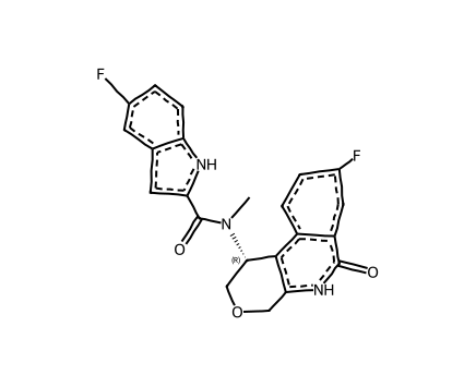 CN(C(=O)c1cc2cc(F)ccc2[nH]1)[C@H]1COCc2[nH]c(=O)c3cc(F)ccc3c21